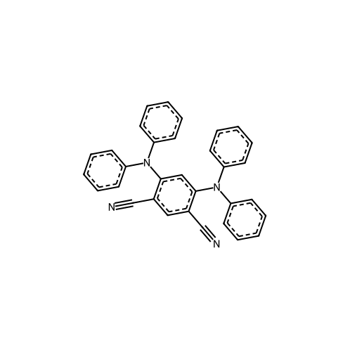 N#Cc1cc(C#N)c(N(c2ccccc2)c2ccccc2)cc1N(c1ccccc1)c1ccccc1